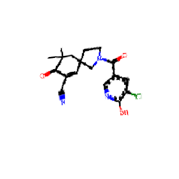 CC1(C)CC2(C=C(C#N)C1=O)CCN(C(=O)c1cnc(O)c(Cl)c1)C2